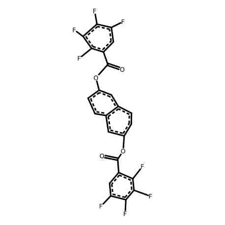 O=C(Oc1ccc2cc(OC(=O)c3cc(F)c(F)c(F)c3F)ccc2c1)c1cc(F)c(F)c(F)c1F